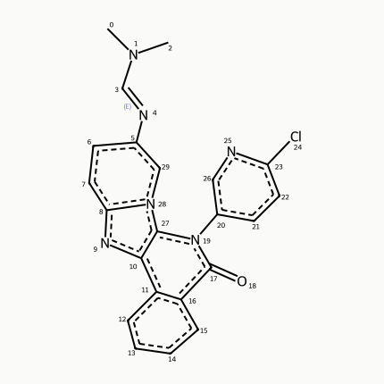 CN(C)/C=N/c1ccc2nc3c4ccccc4c(=O)n(-c4ccc(Cl)nc4)c3n2c1